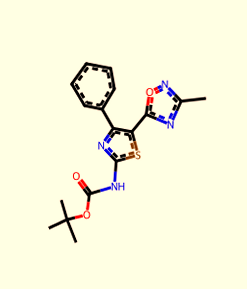 Cc1noc(-c2sc(NC(=O)OC(C)(C)C)nc2-c2ccccc2)n1